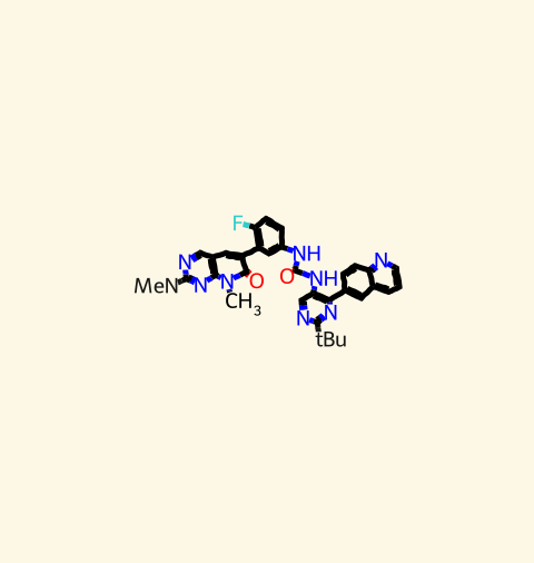 CNc1ncc2cc(-c3cc(NC(=O)Nc4cnc(C(C)(C)C)nc4-c4ccc5ncccc5c4)ccc3F)c(=O)n(C)c2n1